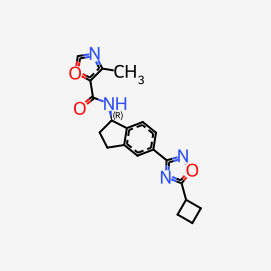 Cc1ncoc1C(=O)N[C@@H]1CCc2cc(-c3noc(C4CCC4)n3)ccc21